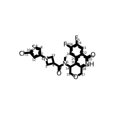 CN(C(=O)C1CN(c2csc(Cl)c2)C1)C1COCc2[nH]c(=O)c3cc(F)c(F)cc3c21